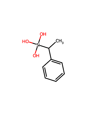 CC(c1ccccc1)[Si](O)(O)O